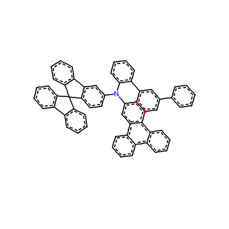 c1ccc(-c2cccc(-c3ccccc3N(c3ccc4c(c3)-c3ccccc3C43c4ccccc4-c4ccccc43)c3ccc4c5ccccc5c5ccccc5c4c3)c2)cc1